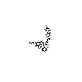 COc1cc(C)c(S(=O)(=O)N2c3ccccc3CCC2COCC(=O)N2CCN(C3CCN(C)CC3)CC2)c(C)c1